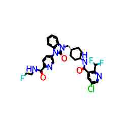 O=C(NCCF)c1ccc(-n2c(=O)n(C[C@H]3CC[C@H](NC(=O)c4cc(Cl)cnc4C(F)F)CC3)c3ccccc32)cn1